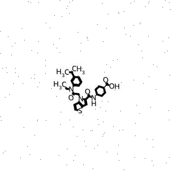 CCN(C(=O)Cn1c(C(=O)N[C@H]2CC[C@H](C(=O)O)CC2)cc2sccc21)c1cccc(C(C)C)c1